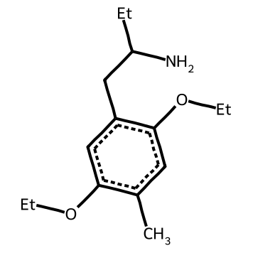 CCOc1cc(CC(N)CC)c(OCC)cc1C